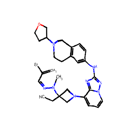 C=C(/C=N\N(C)C1(CC#N)CN(c2cccn3nc(Nc4ccc5c(c4)CCN(C4CCOC4)C5)nc23)C1)CC